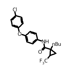 CCCCC1(C(=O)Nc2ccc(Oc3ccc(Cl)cc3)cc2)CC1C(F)(F)F